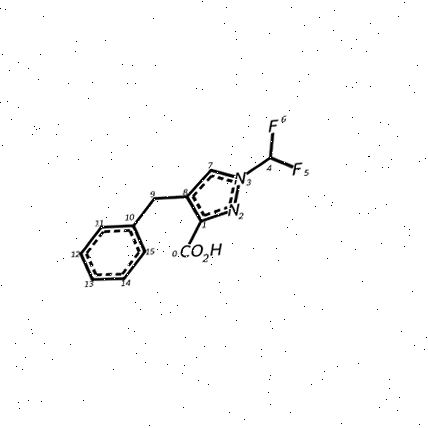 O=C(O)c1nn(C(F)F)cc1Cc1ccccc1